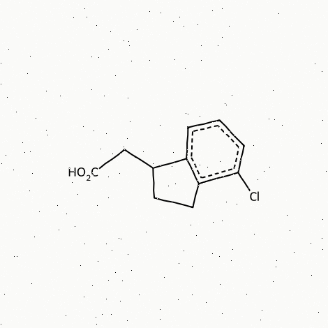 O=C(O)CC1CCc2c(Cl)cccc21